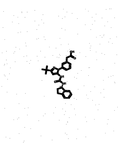 CC(C)(C)c1cc(NC(=O)N[C@H]2CCc3ccccc32)n(-c2cccc(CC(=O)O)c2)n1